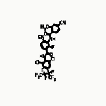 Cc1cc(C#N)ccc1C(=O)Nc1c(C#N)ccc(C(=O)Nc2c(Cl)cc(C(F)(C(F)(F)F)C(F)(F)C(F)(F)F)cc2Cl)c1F